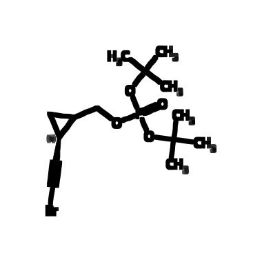 CC(C)(C)OP(=O)(OCC1C[C@@H]1C#CBr)OC(C)(C)C